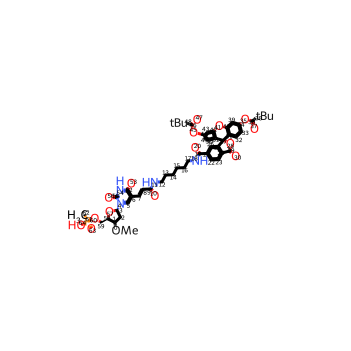 COC1C[C@H](n2cc(/C=C/C(=O)NCCCCCCNC(=O)c3ccc4c(c3)C3(OC4=O)c4ccc(OC(=O)C(C)(C)C)cc4Oc4cc(OC(=O)C(C)(C)C)ccc43)c(=O)[nH]c2=O)O[C@@H]1COP(C)(=O)O